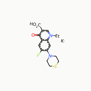 CCn1cc(C(=O)O)c(=O)c2cc(F)c(N3CCSCC3)cc21.[K]